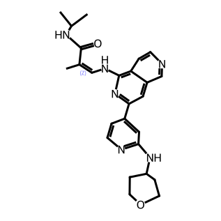 C/C(=C/Nc1nc(-c2ccnc(NC3CCOCC3)c2)cc2cnccc12)C(=O)NC(C)C